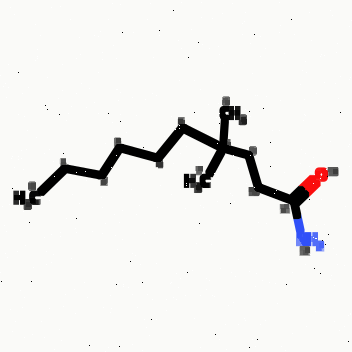 CCCCCCC(C)(C)CCC(N)=O